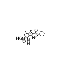 CNc1c([N+](=O)O)cnc2sc3c(=O)n(C4CCCCC4)cnc3c12